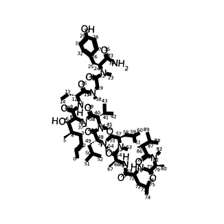 C/C=C/C[C@@H](C)[C@H](O)C(C(=O)N[C@H](CC)C(=O)N(C)CC(=O)N(C)[C@@H](Cc1ccc(O)cc1)C(N)=O)N(C)C(=O)[C@H](C(C)C)N(C)C(=O)[C@@H](CC(C)C)N(C)C(=O)[C@@H](CC(C)C)N(C)C(=O)[C@H](C)NC(=O)C(CC(C)C)NC(=O)[C@H](C)N(C)C(=O)[C@H](C)C(C)C